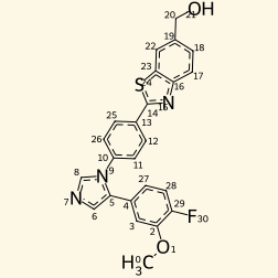 COc1cc(-c2cncn2-c2ccc(-c3nc4ccc(CO)cc4s3)cc2)ccc1F